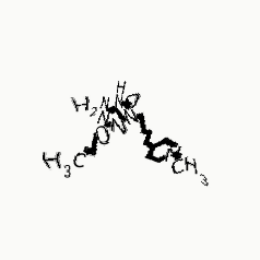 CCCCOc1nc(N)c2[nH]c(=O)n(CCCCC3CCN(CC)CC3)c2n1